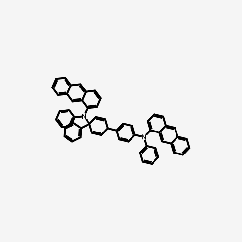 C1=CC(c2ccccc2)(N(c2ccccc2)c2cccc3cc4ccccc4cc23)C=CC1c1ccc(N(c2ccccc2)c2cccc3cc4ccccc4cc23)cc1